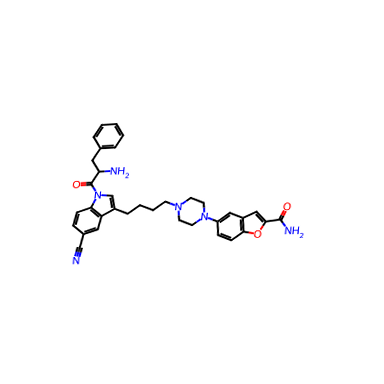 N#Cc1ccc2c(c1)c(CCCCN1CCN(c3ccc4oc(C(N)=O)cc4c3)CC1)cn2C(=O)C(N)Cc1ccccc1